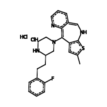 Cc1cc2c(s1)NC=c1cccnc1=C2N1CCNC(CCc2ccccc2F)C1.Cl.Cl